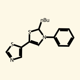 CCCCC1SC(c2cncs2)=[C]N1c1ccccc1